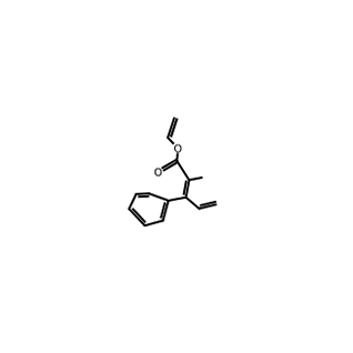 C=COC(=O)C(C)=C(C=C)c1ccccc1